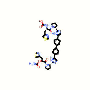 COC(=O)N[C@@H](Cc1cscn1)C(=O)N1CCC[C@H]1c1ncc(-c2ccc(-c3ccc(-c4cnc([C@@H]5CCCN5C(=O)[C@](C)(Cc5cscn5)OC(N)=O)[nH]4)cc3)cc2)[nH]1